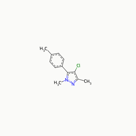 Cc1ccc(-c2c(Cl)c(C)nn2C)cc1